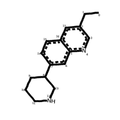 CCc1cnc2cc(C3CCCNC3)ccc2c1